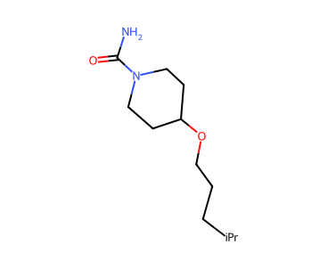 CC(C)CCCOC1CCN(C(N)=O)CC1